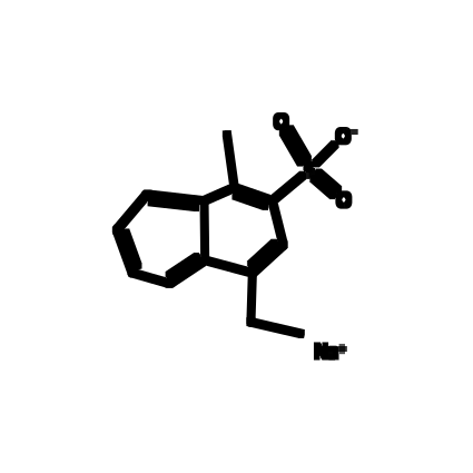 CCc1cc(S(=O)(=O)[O-])c(C)c2ccccc12.[Na+]